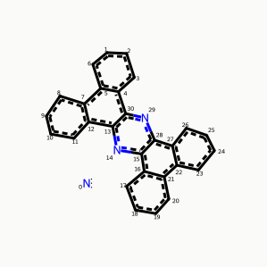 [N].c1ccc2c(c1)c1ccccc1c1nc3c4ccccc4c4ccccc4c3nc21